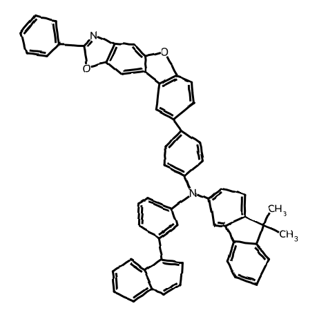 CC1(C)c2ccccc2-c2cc(N(c3ccc(-c4ccc5oc6cc7nc(-c8ccccc8)oc7cc6c5c4)cc3)c3cccc(-c4cccc5ccccc45)c3)ccc21